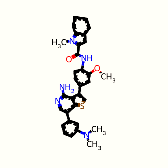 COc1cc(-c2csc3c(-c4cccc(N(C)C)c4)cnc(N)c23)ccc1NC(=O)c1cc2ccccc2n1C